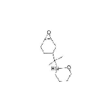 CC(C)(C1CCC2OC2C1)[SiH]1CCCCO1